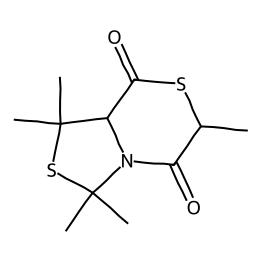 CC1SC(=O)C2N(C1=O)C(C)(C)SC2(C)C